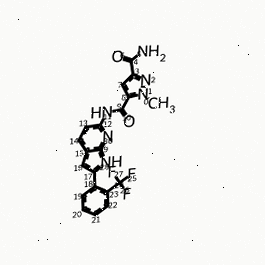 Cn1nc(C(N)=O)cc1C(=O)Nc1ccc2cc(-c3ccccc3C(F)(F)F)[nH]c2n1